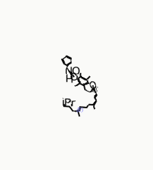 CC(=CC=C[C@@]1(C)CCc2c(C)c(OC(=O)Nc3ccccc3)c(C)c(C)c2O1)CC/C=C(\C)CCCC(C)C